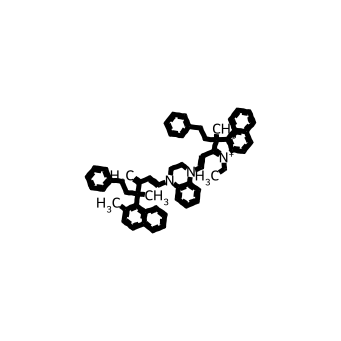 C=C(C=CN1CCN(C=CC2=[N+](CC)c3ccc4ccccc4c3C2(C)CCc2ccccc2)c2ccccc21)C(C)(CCc1ccccc1)c1c(C)ccc2ccccc12